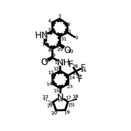 Cc1cccc2[nH]cc(C(=O)Nc3ccc(N4[C@@H](C)CC[C@@H]4C)cc3C(F)(F)F)c(=O)c12